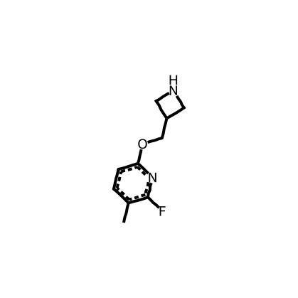 Cc1ccc(OCC2CNC2)nc1F